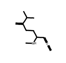 C=C=CC(CCC(=C)C(C)C)NC